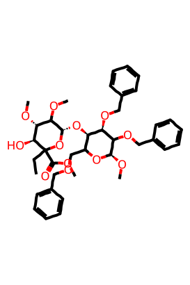 CCC1(C(=O)OC)O[C@@H](O[C@@H]2C(COCc3ccccc3)O[C@H](OC)C(OCc3ccccc3)[C@@H]2OCc2ccccc2)C(OC)[C@@H](OC)[C@@H]1O